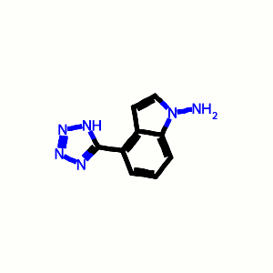 Nn1ccc2c(-c3nnn[nH]3)cccc21